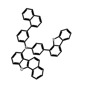 c1cc(-c2cccc3ccccc23)cc(N(c2ccc(-c3cccc4c3sc3ccccc34)cc2)c2cccc3oc4c5ccccc5ccc4c23)c1